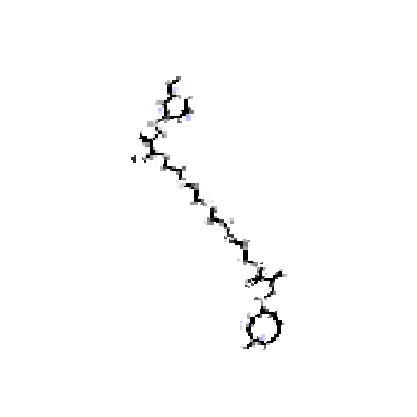 C=C(CSC1C=CC/C=C(C)\C=C/1)C(=O)OCCOCCOCCOCCOC(N)C(=C)CSC(/C=C\C)=C/C=C/C